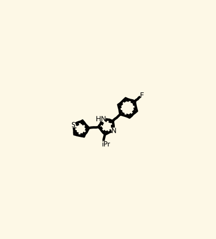 CC(C)c1nc(-c2ccc(F)cc2)[nH]c1-c1ccsc1